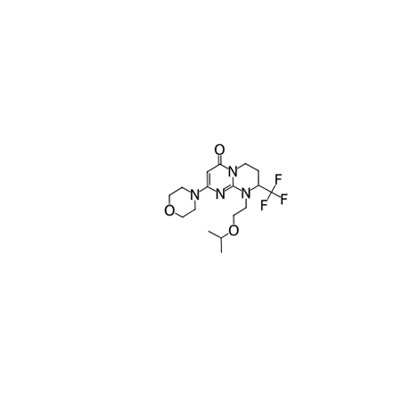 CC(C)OCCN1c2nc(N3CCOCC3)cc(=O)n2CCC1C(F)(F)F